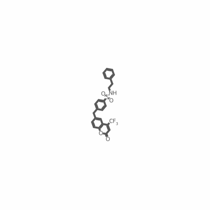 O=c1cc(C(F)(F)F)c2cc(Cc3ccc(S(=O)(=O)NCCc4ccccc4)cc3)ccc2o1